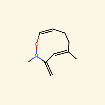 C=C1/C=C(\C)CC/C=C\ON1C